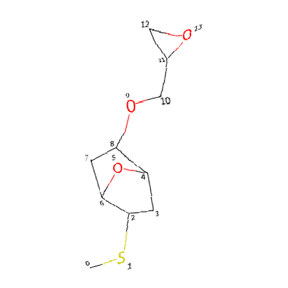 CSC1CC2OC1CC2OCC1CO1